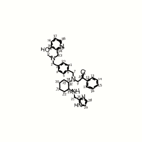 CN(Cc1ccc(CN(CC(=O)c2ccccc2)[C@@H]2CCCC[C@@H]2NCc2ncc[nH]2)cc1)Cc1ncccc1O